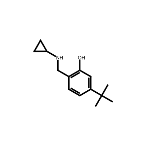 CC(C)(C)c1ccc(CNC2CC2)c(O)c1